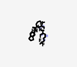 C=C(/N=C1\C(=C/C)N(C)CCCN1C(=C)Nc1ccc2c(c1)CCC2)C(/C=C\C=C\C(C)(F)F)=C/C